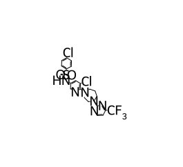 O=S(=O)(Nc1cnc(N2CCCN(c3nccc(C(F)(F)F)n3)CC2)c(Cl)c1)c1ccc(Cl)cc1